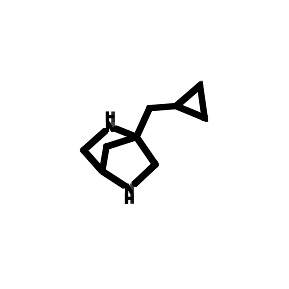 C1CC1CC12CNC(CN1)C2